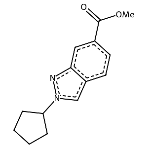 COC(=O)c1ccc2cn(C3CCCC3)nc2c1